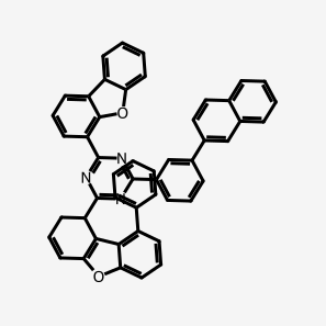 C1=Cc2oc3cccc(-c4ccccc4)c3c2C(c2nc(-c3cccc(-c4ccc5ccccc5c4)c3)nc(-c3cccc4c3oc3ccccc34)n2)C1